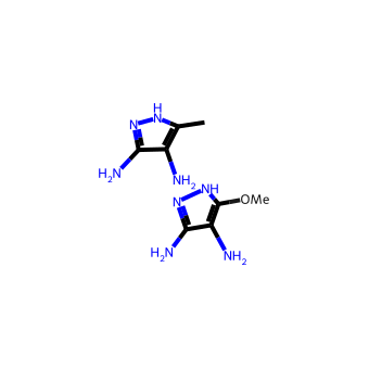 COc1[nH]nc(N)c1N.Cc1[nH]nc(N)c1N